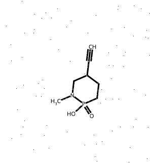 C#CC1CCP(=O)(O)N(C)C1